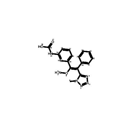 Cn1nnnc1C(=C(ON)c1cccc(NC(=O)O)n1)c1ccccc1